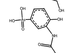 CC(=O)Nc1cc([As](=O)(O)O)ccc1O.CCO